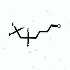 O=CCCCC(F)(F)CC(F)(F)F